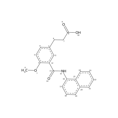 COc1ccc(CCC(=O)O)cc1C(=O)Nc1cccc2ccccc12